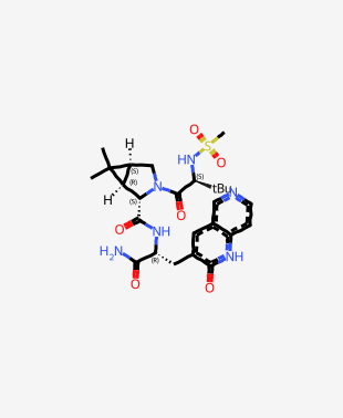 CC(C)(C)[C@H](NS(C)(=O)=O)C(=O)N1C[C@H]2[C@@H]([C@H]1C(=O)N[C@H](Cc1cc3cnccc3[nH]c1=O)C(N)=O)C2(C)C